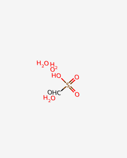 O.O.O.O=CS(=O)(=O)O